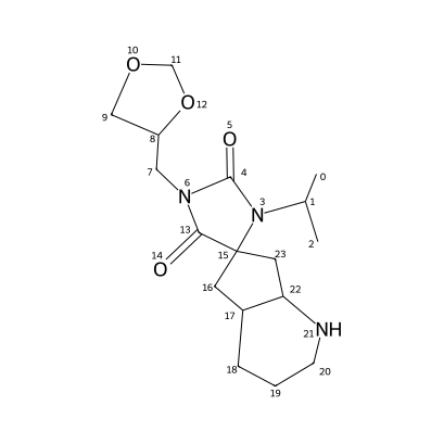 CC(C)N1C(=O)N(CC2COCO2)C(=O)C12CC1CCCNC1C2